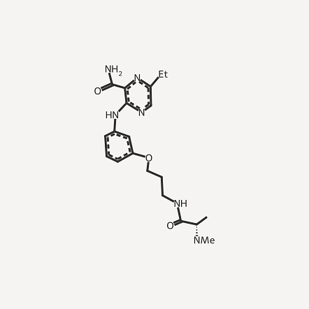 CCc1cnc(Nc2cccc(OCCCNC(=O)[C@H](C)NC)c2)c(C(N)=O)n1